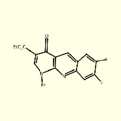 CCOC(=O)c1cn(CC)c2nc3cc(F)c(F)cc3cc2c1=O